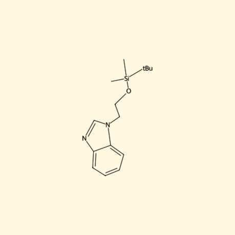 CC(C)(C)[Si](C)(C)OCCn1cnc2ccccc21